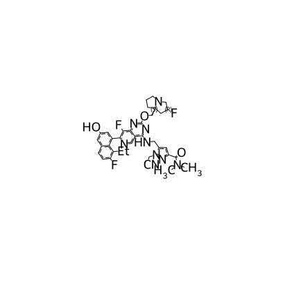 CCc1c(F)ccc2cc(O)cc(-c3ncc4c(NCc5cc(C(=O)N(C)C)nn5CC#N)nc(OC[C@@]56CCCN5C[C@H](F)C6)nc4c3F)c12